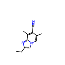 CCc1cn2cc(C)c(C#N)c(C)c2n1